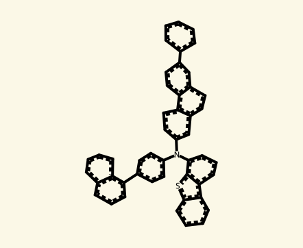 c1ccc(-c2ccc3c(ccc4cc(N(c5ccc(-c6cccc7ccccc67)cc5)c5cccc6c5sc5ccccc56)ccc43)c2)cc1